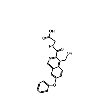 O=C(O)CNC(=O)c1ncc2cc(Oc3ccccc3)ccc2c1CO